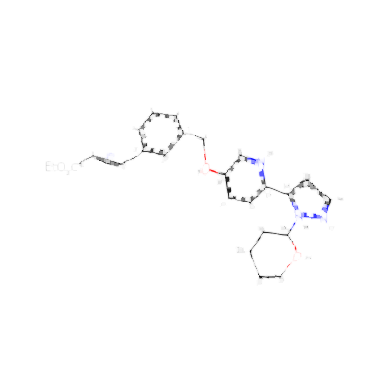 CCOC(=O)/C=C/c1cccc(COc2ccc(-c3ccnn3C3CCCCO3)nc2)c1